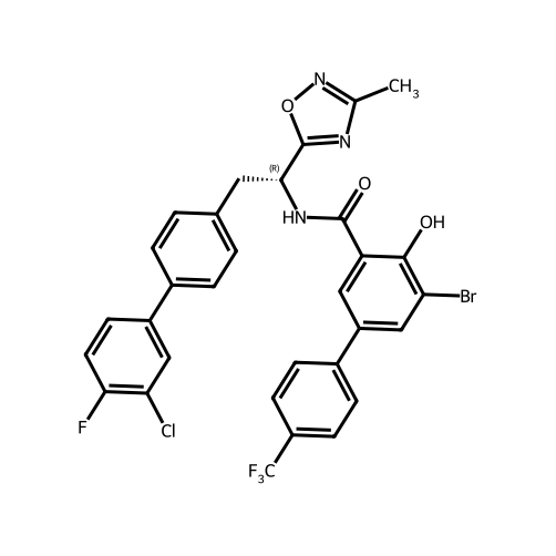 Cc1noc([C@@H](Cc2ccc(-c3ccc(F)c(Cl)c3)cc2)NC(=O)c2cc(-c3ccc(C(F)(F)F)cc3)cc(Br)c2O)n1